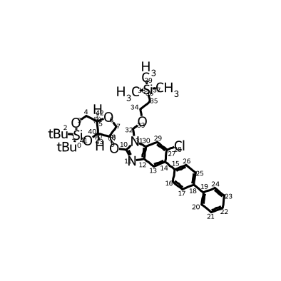 CC(C)(C)[Si]1(C(C)(C)C)OC[C@H]2OC[C@@H](Oc3nc4cc(-c5ccc(-c6ccccc6)cc5)c(Cl)cc4n3COCC[Si](C)(C)C)[C@@H]2O1